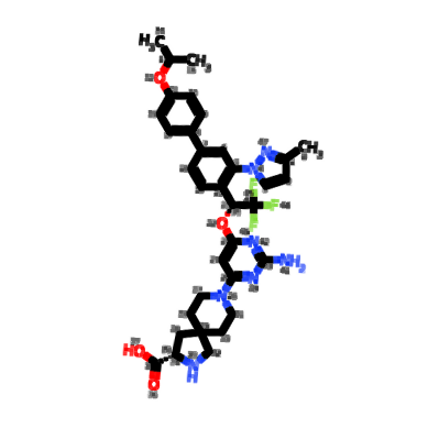 Cc1ccn(-c2cc(-c3ccc(OC(C)C)cc3)ccc2[C@@H](Oc2cc(N3CCC4(CC3)CN[C@H](C(=O)O)C4)nc(N)n2)C(F)(F)F)n1